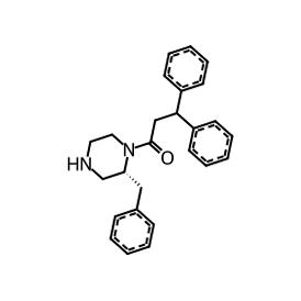 O=C(CC(c1ccccc1)c1ccccc1)N1CCNC[C@H]1Cc1ccccc1